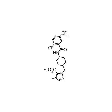 CCOC(=O)c1c(C)cnn1CC1CCC(NC(=O)c2cc(C(F)(F)F)ccc2Cl)CC1